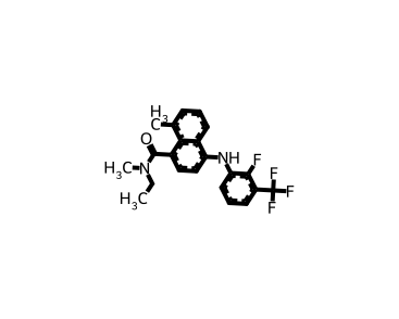 CCN(C)C(=O)c1ccc(Nc2cccc(C(F)(F)F)c2F)c2cccc(C)c12